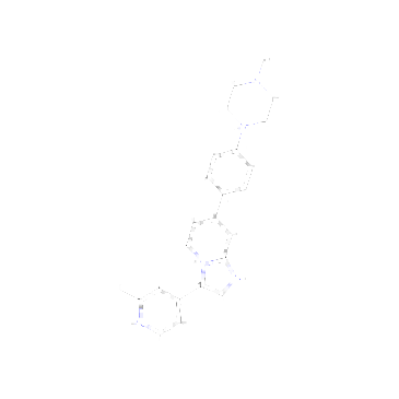 Cc1cc(-c2cnc3cc(-c4ccc(N5CCN(C)CC5)cc4)ccn23)ccn1